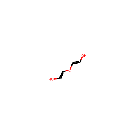 O/C=C/O/C=C/O